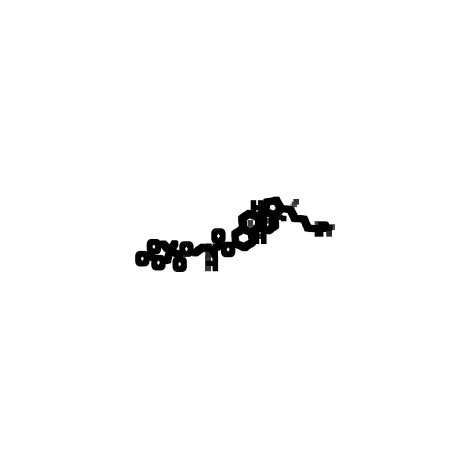 CC(C)CCC[C@@H](C)C1CC[C@H]2[C@@H]3CC=C4CC(OC(=O)NCCOC(=O)C5(C)COC(=O)OC5)CC[C@]4(C)[C@H]3CC[C@]12C